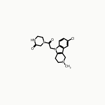 CN1CCc2c(c3cc(Cl)ccc3n2CC(=O)N2CCNC(=O)C2)C1